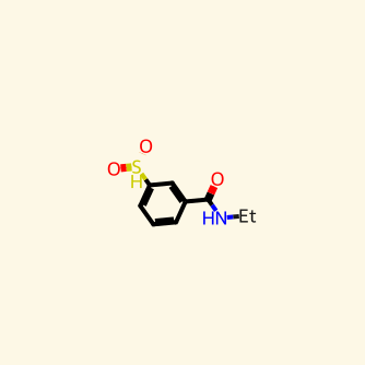 CCNC(=O)c1cccc([SH](=O)=O)c1